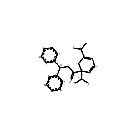 CC(C)C1=CC=CC(C(=O)CC(c2ccccc2)c2ccccc2)(C(C)C)[CH]1